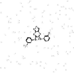 FC(F)(F)c1cccc(Nc2nc3nonc3nc2Nc2cccc(Cl)c2)c1